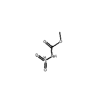 COC(=O)N[SH](=O)=O